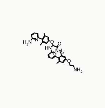 Cc1cc(OC(Nc2cccc(-c3c(C)cc(OCCN)cc3C)n2)C(N)=O)cc(C)c1-c1cccc(N)n1